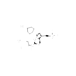 CC[Si](C#Cc1cc([C@H]2CC[C@H](O)CC2)n2nc(NC(C)COC)ncc12)(CC)CC